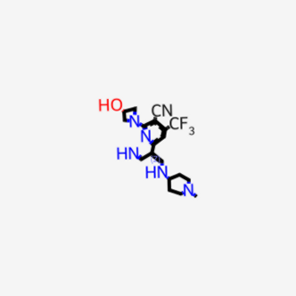 CN1CCC(N/C=C(\C=N)c2cc(C(F)(F)F)c(C#N)c(N3CC(O)C3)n2)CC1